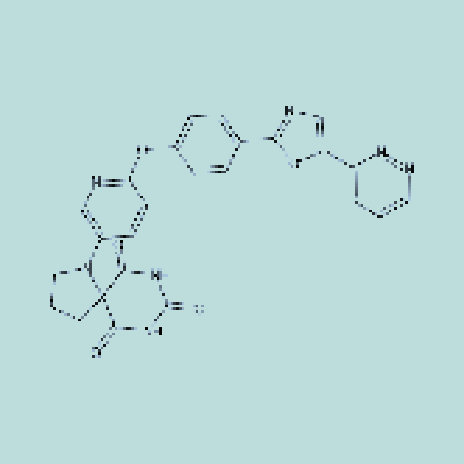 O=C1NC(=O)C2(CCCN2c2ccc(Oc3ccc(-c4ncc(-c5cccnn5)o4)cc3)nc2)C(=O)N1